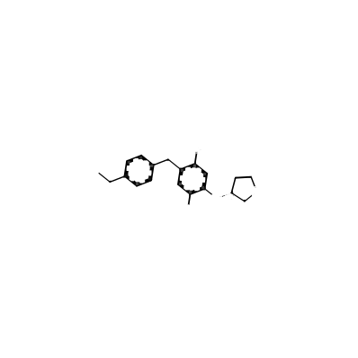 CCc1ccc(Cc2cc(I)c(O[C@H]3CCOC3)cc2Br)cc1